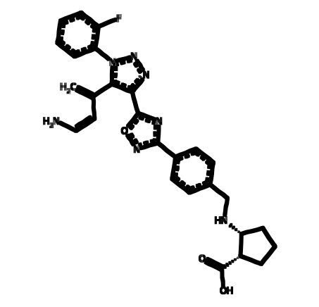 C=C(/C=C\N)c1c(-c2nc(-c3ccc(CN[C@@H]4CCC[C@@H]4C(=O)O)cc3)no2)nnn1-c1ccccc1F